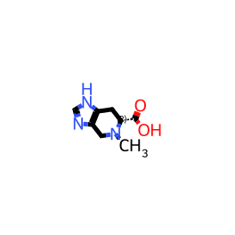 CN1Cc2nc[nH]c2C[C@@H]1C(=O)O